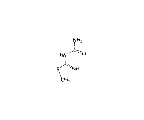 CSC(=N)NC(N)=O